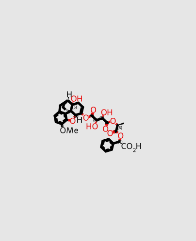 COc1ccc2c3c1O[C@@H]1C(OC(=O)[C@H](O)[C@@H](O)C(=O)O[C@@H](C)C(=O)O[C@H](C(=O)O)c4ccccc4)=CC[C@]4(O)[C@@H](CCC[C@@]314)C2